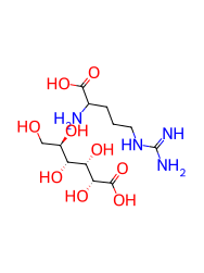 N=C(N)NCCCC(N)C(=O)O.O=C(O)[C@H](O)[C@@H](O)[C@H](O)[C@H](O)CO